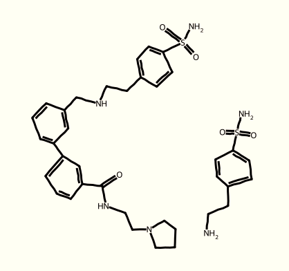 NCCc1ccc(S(N)(=O)=O)cc1.NS(=O)(=O)c1ccc(CCNCc2cccc(-c3cccc(C(=O)NCCN4CCCC4)c3)c2)cc1